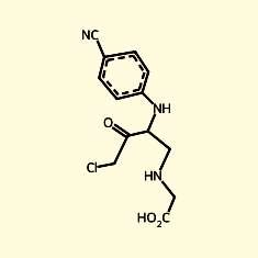 N#Cc1ccc(NC(CNCC(=O)O)C(=O)CCl)cc1